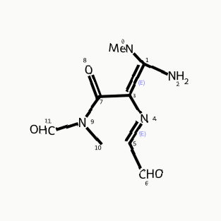 CN/C(N)=C(/N=C/C=O)C(=O)N(C)C=O